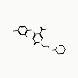 NC(=O)c1cn(CCOC2CCCCO2)c(=O)cc1Nc1ccc(I)cc1F